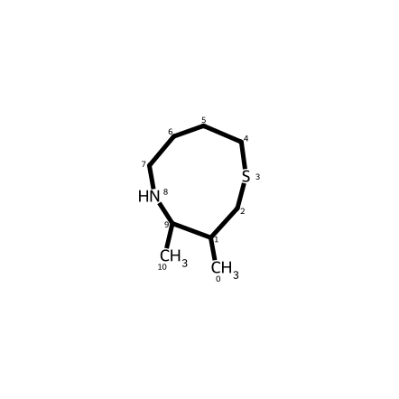 CC1CSCCCCNC1C